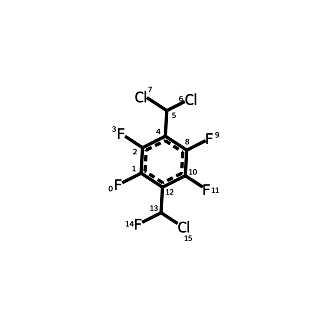 Fc1c(F)c(C(Cl)Cl)c(F)c(F)c1C(F)Cl